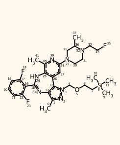 Cc1nn(COCC[Si](C)(C)C)c2c1N=C(c1c(F)cccc1F)Nc1c-2cc(N2CCN(CCF)C(C)C2)nc1C